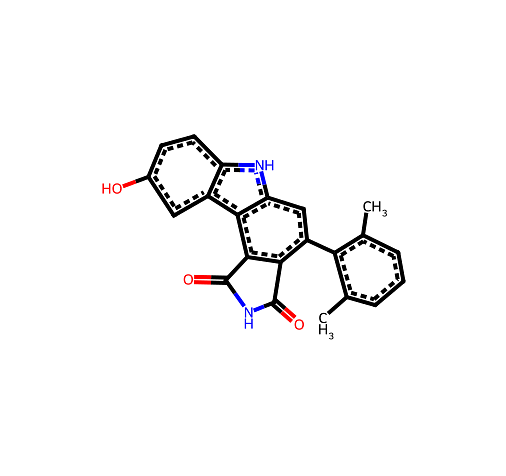 Cc1cccc(C)c1-c1cc2[nH]c3ccc(O)cc3c2c2c1C(=O)NC2=O